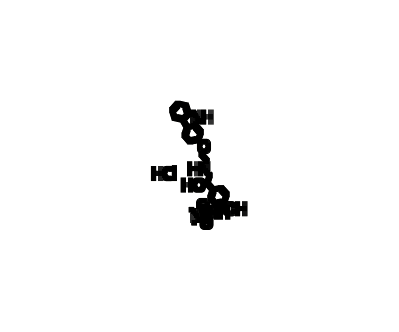 CN(C)S(=O)(=O)Nc1cc(C(O)CNCCOc2ccc3c(c2)[nH]c2ccccc23)ccc1O.Cl